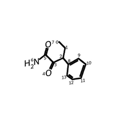 CCC(C(=O)C(N)=O)c1ccccc1